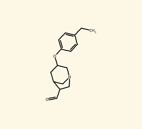 CCc1ccc(OC2CC3CN(C2)CC3C=O)cc1